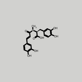 CN(C(=O)/C=C/c1ccc(O)c(O)c1)[C@@H](Cc1ccc(O)c(O)c1)C(=O)O